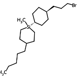 CCCCCC1CC[Si](C)([C@H]2CC[C@H](CCCBr)CC2)CC1